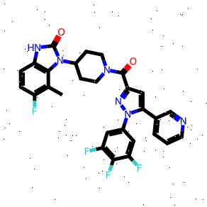 Cc1c(F)ccc2[nH]c(=O)n(C3CCN(C(=O)c4cc(-c5cccnc5)n(-c5cc(F)c(F)c(F)c5)n4)CC3)c12